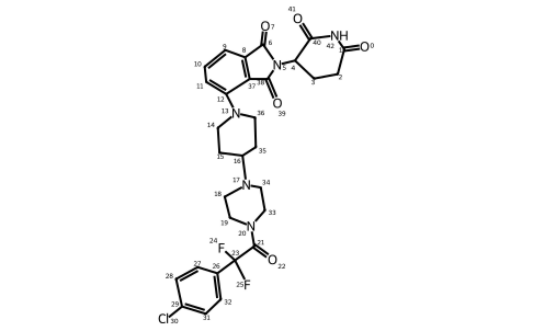 O=C1CCC(N2C(=O)c3cccc(N4CCC(N5CCN(C(=O)C(F)(F)c6ccc(Cl)cc6)CC5)CC4)c3C2=O)C(=O)N1